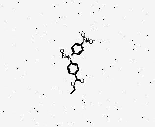 CCOC(=O)c1ccc(N(N=O)c2ccc([N+](=O)[O-])cc2)cc1